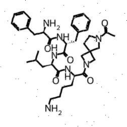 CC(=O)N1CCC2(C1)CN(C(=O)[C@@H](CCCCN)NC(=O)[C@@H](CC(C)C)NC(=O)[C@@H](Cc1ccccc1)NC(=O)[C@H](N)Cc1ccccc1)C2